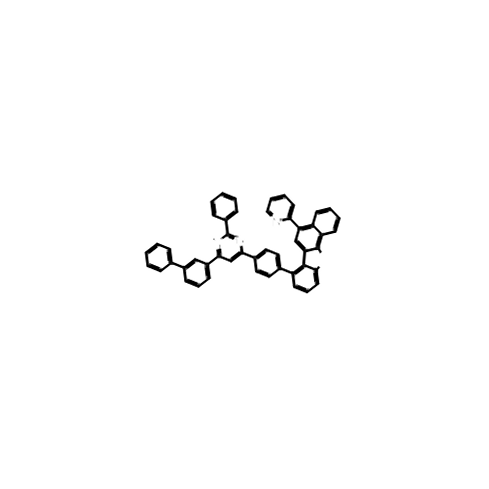 c1ccc(-c2cccc(-c3cc(-c4ccc(-c5cccc6oc7c8ccccc8c(-c8ccccn8)cc7c56)cc4)nc(-c4ccccc4)n3)c2)cc1